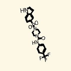 O=C(Nc1ccc(C(F)(F)F)cc1)N1CCN(S(=O)(=O)c2ccc3[nH]ccc3c2)CC1